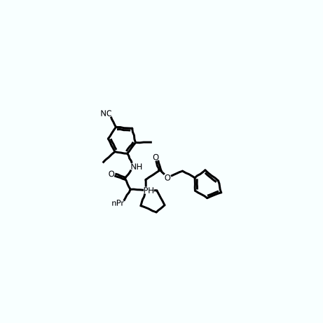 CCCC(C(=O)Nc1c(C)cc(C#N)cc1C)[PH]1(CC(=O)OCc2ccccc2)CCCC1